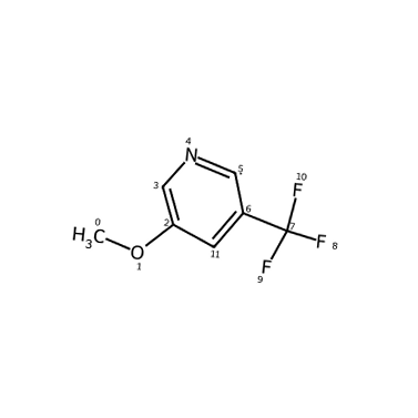 COc1cn[c]c(C(F)(F)F)c1